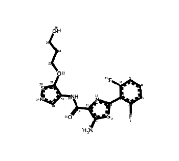 Nc1sc(-c2c(F)cccc2F)nc1C(=O)Nc1cnsc1OCCCO